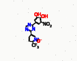 O=[N+]([O-])c1cc(-c2ncnc(-c3ccc(C(F)(F)F)[n+]([O-])c3)n2)cc(O)c1O